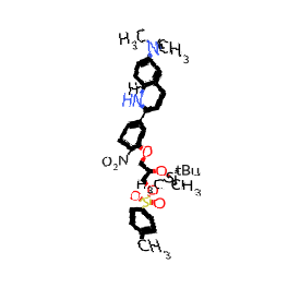 Cc1ccc(S(=O)(=O)OCC(COC2=CC([C@@H]3C=CC4=CC(N(C)C)=CC[C@@H]4N3)=CC[C@@H]2[N+](=O)[O-])O[Si](C)(C)C(C)(C)C)cc1